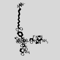 COP(=O)(O)OC[C@H]1O[C@@H](n2ccc(=O)[nH]c2=O)[C@H](F)[C@@H]1OP(=O)(OC[C@@H]1C[C@@H](F)[C@H](n2cnc3c(N)ncnc32)O1)SCc1ccc(OC(=O)CCCCCCCCCCN=[N+]=[N-])cc1